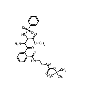 COC(=O)C(NS(=O)(=O)c1ccccc1)C(N)C(=O)c1ccccc1C(=O)NCCNC(=O)OC(C)(C)C